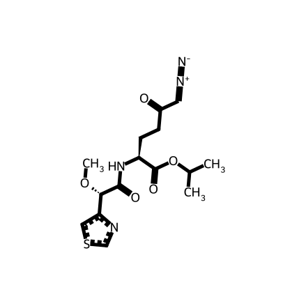 CO[C@H](C(=O)N[C@@H](CCC(=O)C=[N+]=[N-])C(=O)OC(C)C)c1cscn1